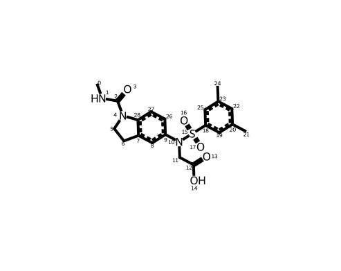 CNC(=O)N1CCc2cc(N(CC(=O)O)S(=O)(=O)c3cc(C)cc(C)c3)ccc21